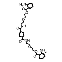 Nc1ccccc1C(=O)OCCOCCNC(=O)c1ccc(C(=O)NCCOCCOC(=O)c2ccccc2N)cc1